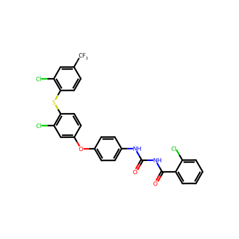 O=C(NC(=O)c1ccccc1Cl)Nc1ccc(Oc2ccc(Sc3ccc(C(F)(F)F)cc3Cl)c(Cl)c2)cc1